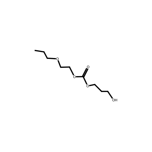 CCCOCCOC(=O)OCCCO